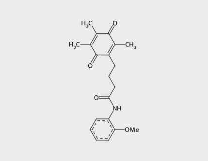 COc1ccccc1NC(=O)CCCC1=C(C)C(=O)C(C)=C(C)C1=O